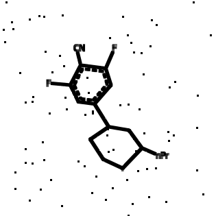 CCCC1[CH]CCC(c2cc(F)c(C#N)c(F)c2)C1